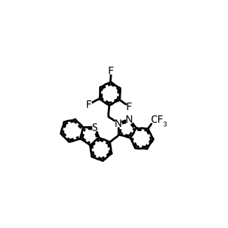 Fc1cc(F)c(Cn2nc3c(C(F)(F)F)cccc3c2-c2cccc3c2sc2ccccc23)c(F)c1